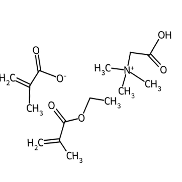 C=C(C)C(=O)OCC.C=C(C)C(=O)[O-].C[N+](C)(C)CC(=O)O